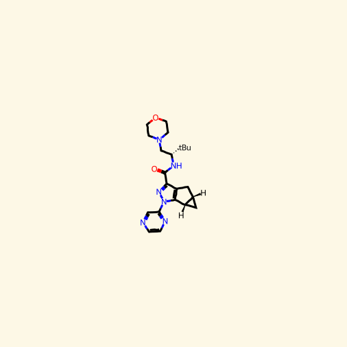 CC(C)(C)[C@@H](CN1CCOCC1)NC(=O)c1nn(-c2cnccn2)c2c1C[C@@H]1C[C@H]21